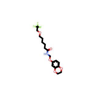 O=C(CCCCCOCC(F)(F)F)NCOc1ccc2c(c1)OCCO2